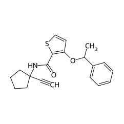 C#CC1(NC(=O)c2sccc2OC(C)c2ccccc2)CCCC1